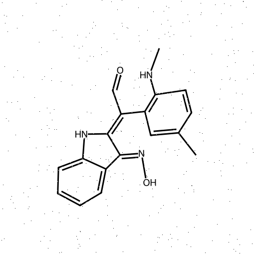 CNc1ccc(C)cc1/C(C=O)=C1/Nc2ccccc2/C1=N\O